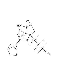 O=C(OC1(C(F)(F)C(F)(F)C(F)(F)C(F)(F)F)COC(O)(C(F)(F)F)C1(F)F)C1CC2CCC1C2